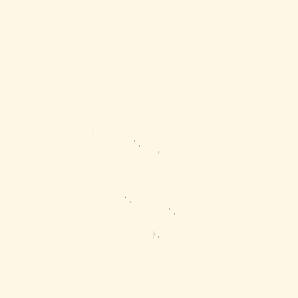 Cc1nnc2n1CCN(C(=O)c1cccc(C(F)(F)F)c1Cl)[C@@H]2c1ccc(F)cc1